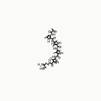 C=C(Br)C(=O)Nc1cc(C)[nH]c1C(=O)Nc1c[nH]c(C(=O)Nc2c[nH]c(C(=O)Nc3n[nH]c(C(=O)NCCC(N)=NO)c3C)c2C)c1C